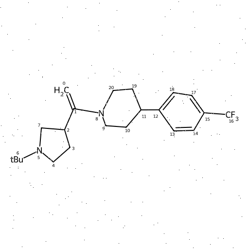 C=C(C1CCN(C(C)(C)C)C1)N1CCC(c2ccc(C(F)(F)F)cc2)CC1